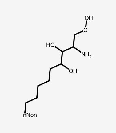 CCCCCCCCCCCCCCC(O)C(O)C(N)COO